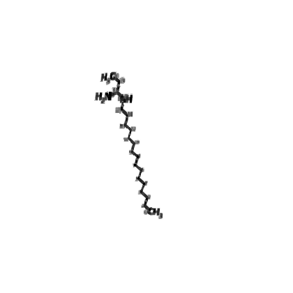 CCCCCCCCCCCCCCCCNC(N)CC